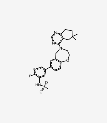 CC1(C)CCc2ncnc(N3CCOc4ccc(-c5cnc(F)c(NS(C)(=O)=O)c5)cc4C3)c2C1